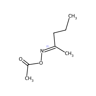 CCC/C(C)=N/OC(C)=O